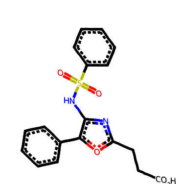 O=C(O)CCc1nc(NS(=O)(=O)c2ccccc2)c(-c2ccccc2)o1